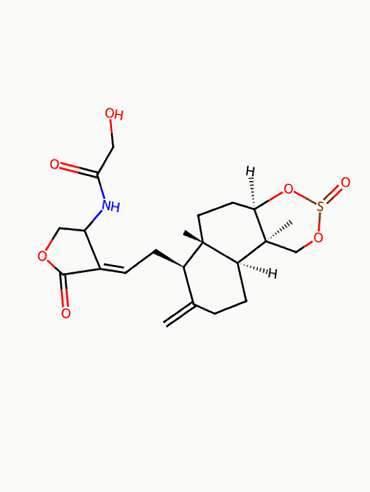 C=C1CC[C@@H]2[C@]3(C)COS(=O)O[C@@H]3CC[C@@]2(C)[C@@H]1C/C=C1/C(=O)OCC1NC(=O)CO